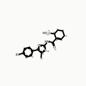 CCc1ccc(-c2nc(NC(=O)C3=CCCCC3C(=O)O)sc2C)cc1